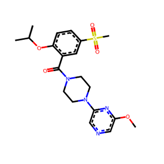 COc1cncc(N2CCN(C(=O)c3cc(S(C)(=O)=O)ccc3OC(C)C)CC2)n1